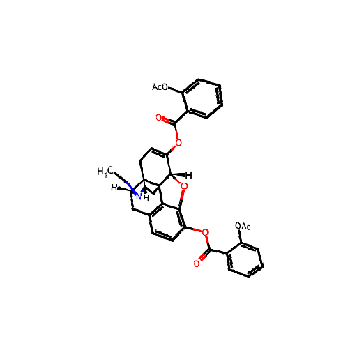 CC(=O)Oc1ccccc1C(=O)OC1=CC[C@H]2[C@H]3Cc4ccc(OC(=O)c5ccccc5OC(C)=O)c5c4[C@@]2(CCN3C)[C@H]1O5